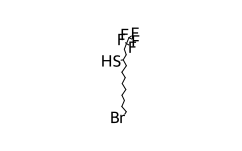 FC(F)(F)C(F)(F)CCC(S)CCCCCCCCCBr